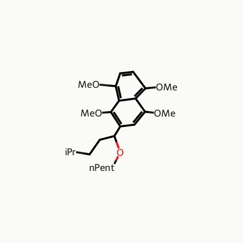 CCCCCOC(CCC(C)C)c1cc(OC)c2c(OC)ccc(OC)c2c1OC